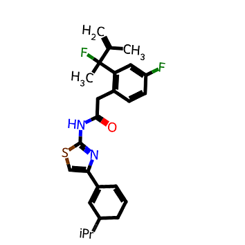 C=C(C)C(C)(F)c1cc(F)ccc1CC(=O)Nc1nc(C2=CC(C(C)C)CC=C2)cs1